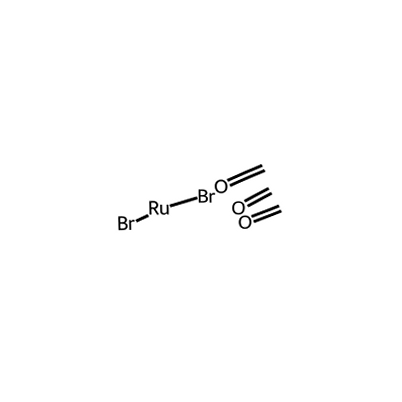 C=O.C=O.C=O.[Br][Ru][Br]